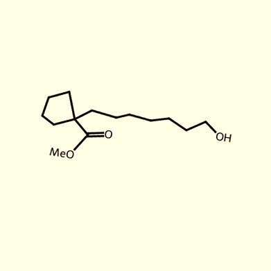 COC(=O)C1(CCCCCCCO)CCCC1